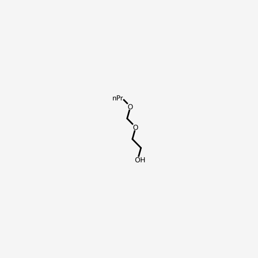 CCCOCOCCO